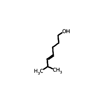 CC(C)C=CCCCO